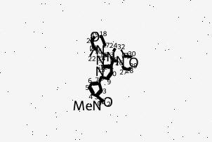 CNC(=O)c1cccc(-c2ccc3c(n2)N=C(N2CCOC[C@@H]2C)N(C)C3N2CCOC[C@@H]2C)c1